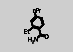 CCCc1ccc(C(N)=O)c(CC)c1